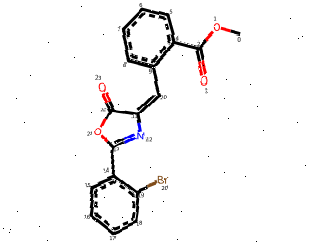 COC(=O)c1ccccc1/C=C1/N=C(c2ccccc2Br)OC1=O